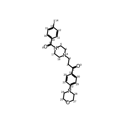 O=C(CCN1CCN(C(=O)c2ccc(I)cc2)CC1)c1ccc(N2CCOCC2)cc1